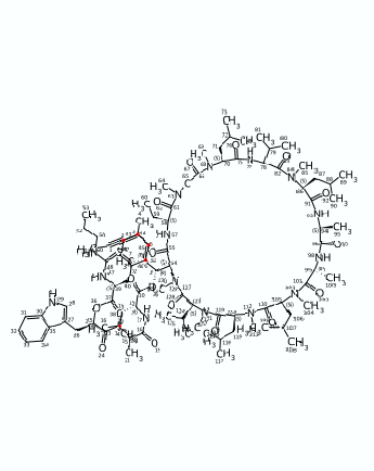 CC#CC(C)C[C@@H](C)[C@@H](OC(=O)[C@@H](CC(C)C)NC(=O)[C@@H](C)SC(=O)[C@@H](Cc1c[nH]c2ccccc12)OC(=O)[C@H](Cc1ccccc1)NC(=S)NCCC)[C@H]1C(=O)N[C@@H](CC)C(=O)N(C)CC(=O)N(C)[C@@H](CC(C)C)C(=O)NC(C(C)C)C(=O)N(C)[C@@H](CC(C)C)C(=O)N[C@@H](C)C(=O)N[C@H](C)C(=O)N(C)[C@@H](CC(C)C)C(=O)N(C)[C@@H](CC(C)C)C(=O)N(C)[C@@H](C(C)C)C(=O)N1C